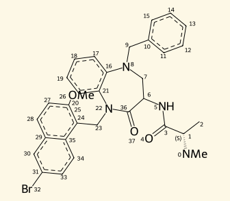 CN[C@@H](C)C(=O)NC1CN(Cc2ccccc2)c2ccccc2N(Cc2c(OC)ccc3cc(Br)ccc23)C1=O